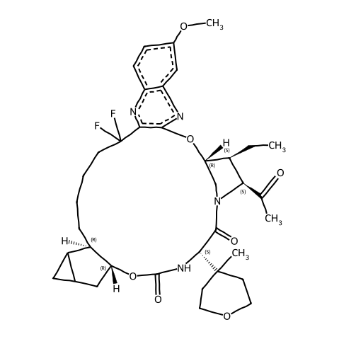 CC[C@@H]1[C@@H]2CN(C(=O)[C@H](C3(C)CCOCC3)NC(=O)O[C@@H]3CC4CC4[C@H]3CCCCC(F)(F)c3nc4ccc(OC)cc4nc3O2)[C@@H]1C(C)=O